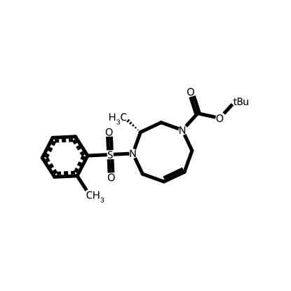 Cc1ccccc1S(=O)(=O)N1C/C=C\CN(C(=O)OC(C)(C)C)C[C@H]1C